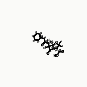 CC1(C)S[C@H]2N(C(=O)C2(F)NC(=O)Cc2ccccc2)[C@H]1C(=O)O